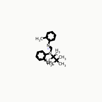 Cc1ccccc1/N=C/N(c1ccccc1C)C(C)(C)C(C)(C)C